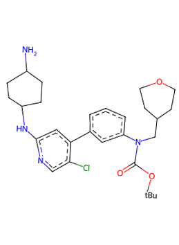 CC(C)(C)OC(=O)N(CC1CCOCC1)c1cccc(-c2cc(NC3CCC(N)CC3)ncc2Cl)c1